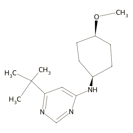 CO[C@H]1CC[C@@H](Nc2cc(C(C)(C)C)ncn2)CC1